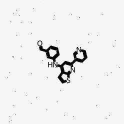 O=Cc1cccc(Nc2cc(-c3cccnc3)nc3sccc23)c1